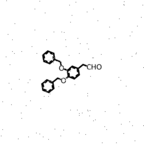 O=CCc1ccc(OCc2ccccc2)c(OCc2ccccc2)c1